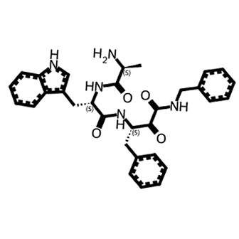 C[C@H](N)C(=O)N[C@@H](Cc1c[nH]c2ccccc12)C(=O)N[C@@H](Cc1ccccc1)C(=O)C(=O)NCc1ccccc1